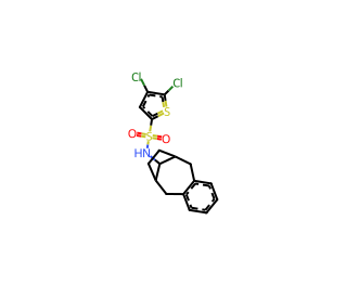 O=S(=O)(NC1C2CCC1Cc1ccccc1C2)c1cc(Cl)c(Cl)s1